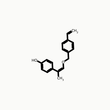 C=Cc1ccc(COC=C(C)c2ccc(O)cc2)cc1